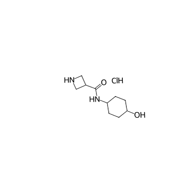 Cl.O=C(NC1CCC(O)CC1)C1CNC1